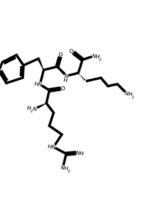 N=C(N)NCCC[C@@H](N)C(=O)N[C@@H](Cc1ccccc1)C(=O)N[C@@H](CCCCN)C(N)=O